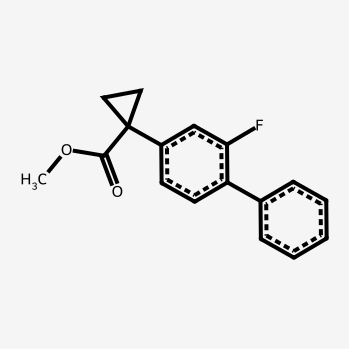 COC(=O)C1(c2ccc(-c3ccccc3)c(F)c2)CC1